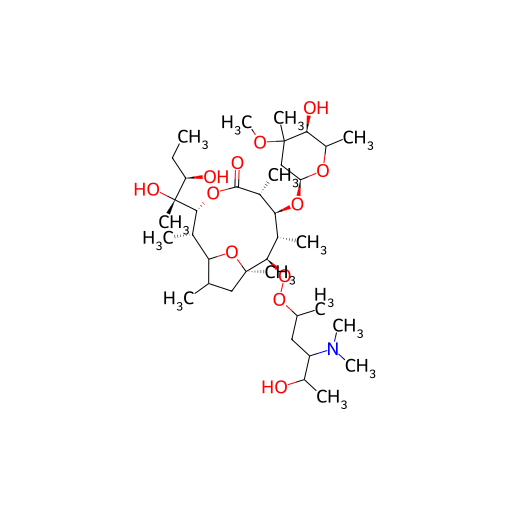 CC[C@@H](O)[C@@](C)(O)[C@@H]1OC(=O)[C@H](C)[C@@H](O[C@H]2CC(C)(OC)[C@@H](O)C(C)O2)[C@H](C)[C@@H](OOC(C)CC(C(C)O)N(C)C)[C@@]2(C)CC(C)C(O2)[C@@H]1C